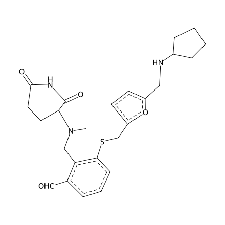 CN(Cc1c(C=O)cccc1SCc1ccc(CNC2CCCC2)o1)C1CCC(=O)NC1=O